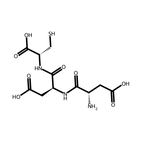 N[C@@H](CC(=O)O)C(=O)N[C@@H](CC(=O)O)C(=O)N[C@@H](CS)C(=O)O